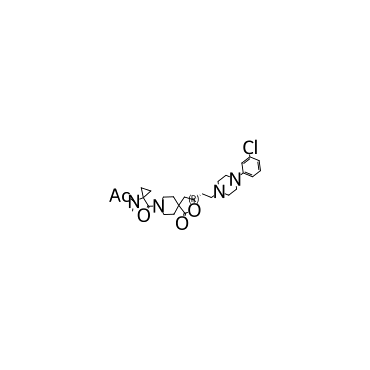 CC(=O)N(C)C1(C(=O)N2CCC3(CC2)C[C@H](CCN2CCN(c4cccc(Cl)c4)CC2)OC3=O)CC1